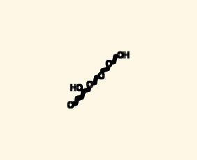 O=CC=CC(O)COCCOCCOCCO